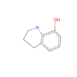 Oc1cccc2c1[N]CCC2